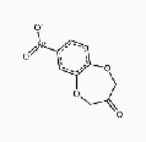 O=C1COc2ccc([N+](=O)[O-])cc2OC1